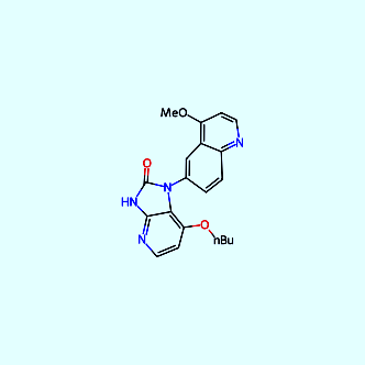 CCCCOc1ccnc2[nH]c(=O)n(-c3ccc4nccc(OC)c4c3)c12